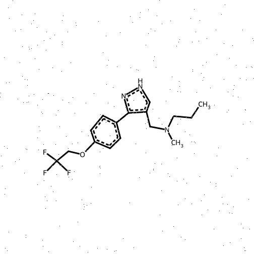 CCCN(C)Cc1c[nH]nc1-c1ccc(OCC(F)(F)F)cc1